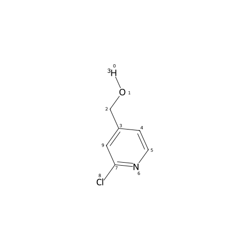 [3H]OCc1ccnc(Cl)c1